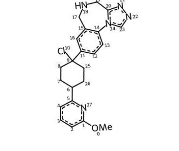 COc1cccc(C2CCC(Cl)(c3ccc4c(c3)CNCc3nncn3-4)CC2)n1